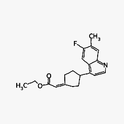 CCOC(=O)C=C1CCC(c2ccnc3cc(C)c(F)cc23)CC1